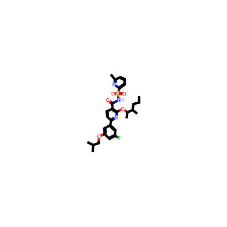 CCCC(C)C(C)Oc1nc(-c2cc(F)cc(OCC(C)C)c2)ccc1C(=O)NS(=O)(=O)c1cccc(C)n1